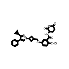 O=Cc1ccc(NCC2CC(n3cc(-c4ccccc4)c(C4CC4)n3)C2)cc1C(=O)NC1CCC(=O)NC1=O